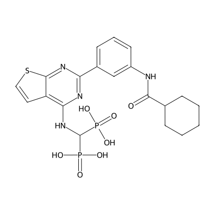 O=C(Nc1cccc(-c2nc(NC(P(=O)(O)O)P(=O)(O)O)c3ccsc3n2)c1)C1CCCCC1